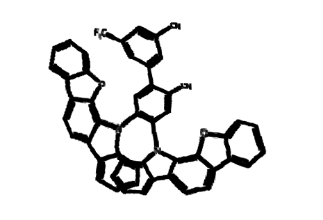 N#Cc1cc(-c2cc(-n3c4ccccc4c4ccc5c6ccccc6oc5c43)c(-n3c4ccccc4c4ccc5c6ccccc6oc5c43)cc2C#N)cc(C(F)(F)F)c1